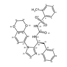 Cc1ccccc1S(=O)(=O)NC(=O)N[C@@H](Cc1ccccc1)c1nccn1-c1ccc2c(c1)OCCO2